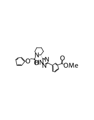 COC(=O)c1cccc(-c2n[nH]c([C@H]3CCCCN3C(=O)COc3ccccc3)n2)c1